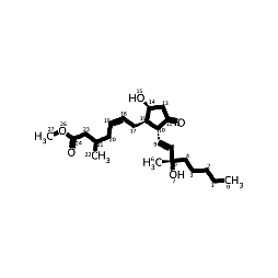 CCCCC[C@](C)(O)/C=C/[C@H]1C(=O)C[C@H](O)[C@@H]1C/C=C\CC(C)CC(=O)OC